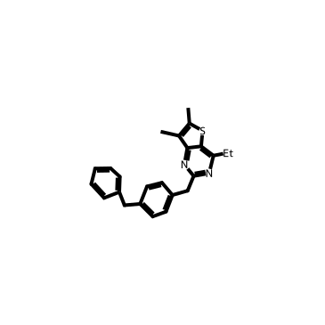 CCc1nc(Cc2ccc(Cc3ccccc3)cc2)nc2c(C)c(C)sc12